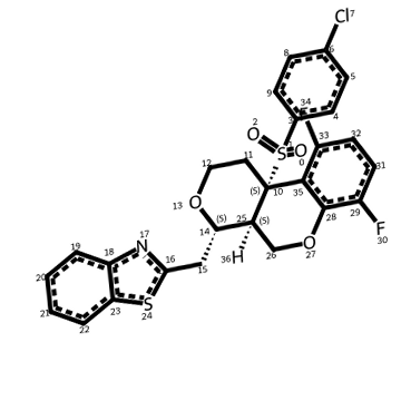 O=S(=O)(c1ccc(Cl)cc1)[C@@]12CCO[C@@H](Cc3nc4ccccc4s3)[C@@H]1COc1c(F)ccc(F)c12